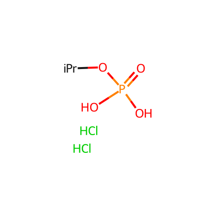 CC(C)OP(=O)(O)O.Cl.Cl